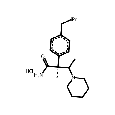 CC(C)Cc1ccc([C@](C)(C(N)=O)C(C)N2CCCCC2)cc1.Cl